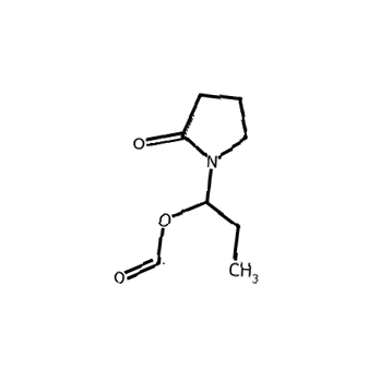 CCC(O[C]=O)N1CCCC1=O